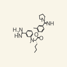 CCCC[C@@H](C(=O)Oc1ccc(C(=N)N2CCCC2)cc1C)N(C)c1cccc(C(=N)N)c1